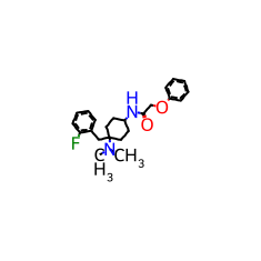 CN(C)C1(Cc2ccccc2F)CCC(NC(=O)COc2ccccc2)CC1